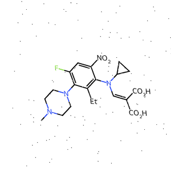 CCc1c(N2CCN(C)CC2)c(F)cc([N+](=O)[O-])c1N(C=C(C(=O)O)C(=O)O)C1CC1